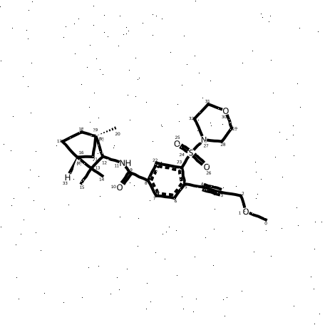 COCC#Cc1ccc(C(=O)NC2C(C)(C)[C@@H]3CC[C@]2(C)C3)cc1S(=O)(=O)N1CCOCC1